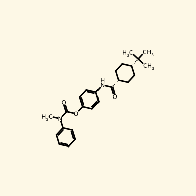 CN(C(=O)Oc1ccc(NC(=O)[C@H]2CC[C@@H](C(C)(C)C)CC2)cc1)c1ccccc1